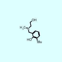 CN(CCO)Cc1cccc(C(C)(C)C)c1O